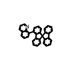 c1ccc2c(c1)-c1ccccc1C21c2ccccc2-c2c(-c3cccc4cccnc34)cccc21